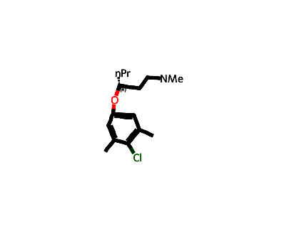 CCC[C@H](CCNC)Oc1cc(C)c(Cl)c(C)c1